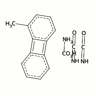 Cc1cccc2c1=c1ccccc1=2.N=C=O.N=C=O.NC(=O)O